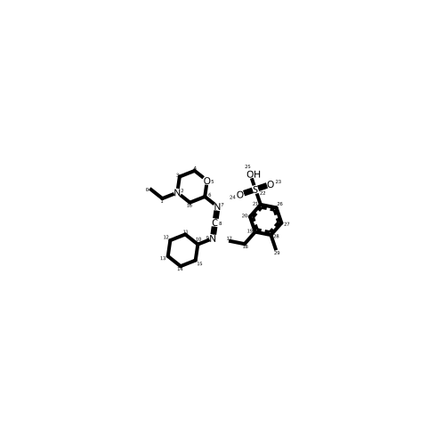 CCN1CCOC(N=C=NC2CCCCC2)C1.CCc1cc(S(=O)(=O)O)ccc1C